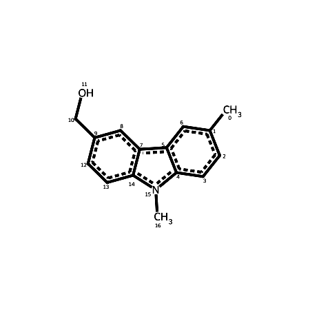 Cc1ccc2c(c1)c1cc(CO)ccc1n2C